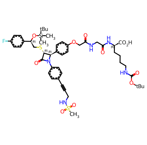 CC(C)(C)OC(=O)NCCCC[C@@H](NC(=O)CNC(=O)COc1ccc([C@@H]2[C@@H](SC[C@H](O[Si](C)(C)C(C)(C)C)c3ccc(F)cc3)C(=O)N2c2ccc(C#CCNS(C)(=O)=O)cc2)cc1)C(=O)O